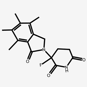 Cc1c(C)c(C)c2c(c1C)CN(C1(F)CCC(=O)NC1=O)C2=O